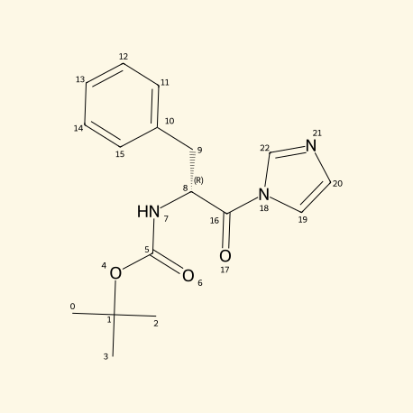 CC(C)(C)OC(=O)N[C@H](Cc1ccccc1)C(=O)n1ccnc1